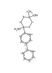 CC1(O)CCC(N)(c2ccc(-c3ncccn3)cn2)CC1